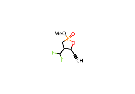 C#CC1OP(=O)(OC)CC1C(F)F